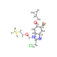 CS(C)(C)CCOCn1c(CCl)nc2cc(Br)c(OCC3CC3)cc21